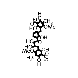 CCC(=O)c1c(O)c(C)c(OC)c(Cc2cccc(C(=O)C(O)C(CO)Cc3c(O)c(C(=O)CC)c(O)c(C)c3OC)c2O)c1O